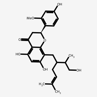 COc1cc(O)ccc1[C@@H]1CC(=O)c2c(O)cc(O)c(CC(CC=C(C)C)C(C)CO)c2O1